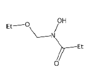 CCOCN(O)C(=O)CC